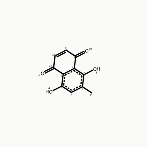 Cc1cc(O)c2c(c1O)C(=O)C=CC2=O